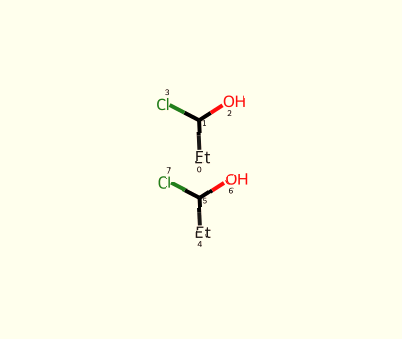 CCC(O)Cl.CCC(O)Cl